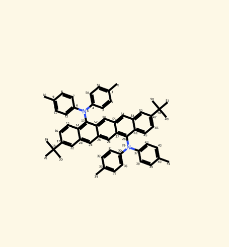 Cc1ccc(N(c2ccc(C)cc2)c2c3ccc(C(C)(C)C)cc3cc3cc4c(N(c5ccc(C)cc5)c5ccc(C)cc5)c5ccc(C(C)(C)C)cc5cc4cc23)cc1